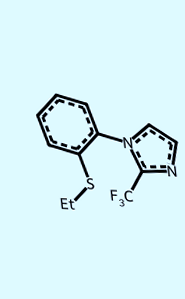 CCSc1ccccc1-n1ccnc1C(F)(F)F